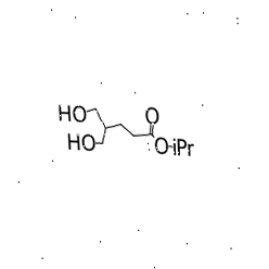 CC(C)OC(=O)CCC(CO)CO